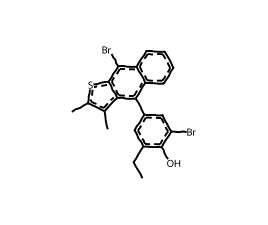 CCc1cc(-c2c3ccccc3c(Br)c3sc(C)c(C)c23)cc(Br)c1O